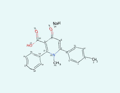 Cc1ccc(-c2cc(=O)c(C(=O)O)c(-c3ccccc3)n2C)cc1.[NaH]